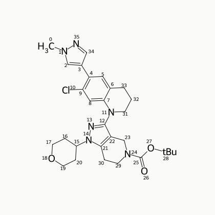 Cn1cc(-c2cc3c(cc2Cl)N(c2nn(C4CCOCC4)c4c2CN(C(=O)OC(C)(C)C)CC4)CCC3)cn1